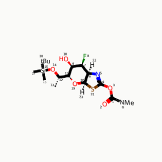 CNC(=O)OC1=N[C@@H]2[C@H](F)[C@H](O)[C@@H]([C@H](C)O[Si](C)(C)C(C)(C)C)O[C@@H]2S1